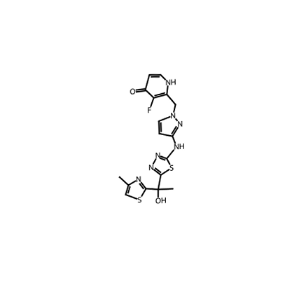 Cc1csc(C(C)(O)c2nnc(Nc3ccn(Cc4[nH]ccc(=O)c4F)n3)s2)n1